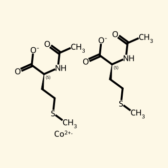 CSCC[C@H](NC(C)=O)C(=O)[O-].CSCC[C@H](NC(C)=O)C(=O)[O-].[Co+2]